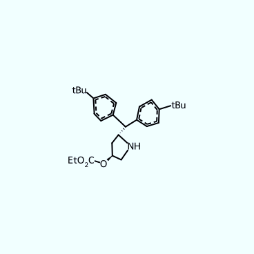 CCOC(=O)O[C@@H]1CN[C@@H](C(c2ccc(C(C)(C)C)cc2)c2ccc(C(C)(C)C)cc2)C1